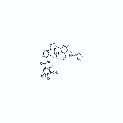 COc1cc(-c2cccc(-c3cccc(NC(=O)c4cn(C)c(=O)n(C)c4=O)c3C)c2C)cc(F)c1CN[C@@H]1CCOC1